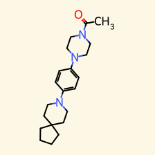 CC(=O)N1CCN(c2ccc(N3CCC4(CCCC4)CC3)cc2)CC1